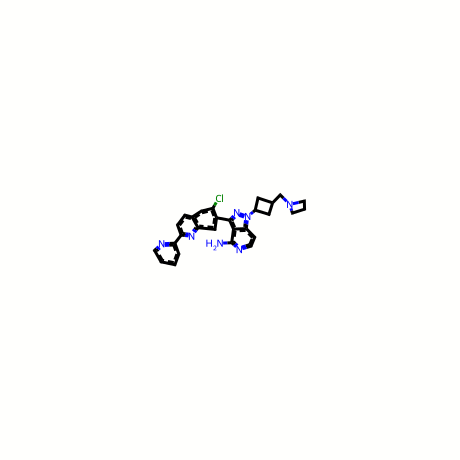 Nc1nccc2c1c(-c1cc3nc(-c4ccccn4)ccc3cc1Cl)nn2C1CC(CN2CCC2)C1